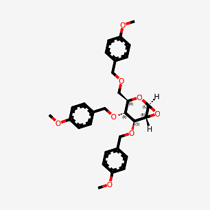 COc1ccc(COC[C@H]2O[C@H]3O[C@@H]3[C@@H](OCc3ccc(OC)cc3)[C@@H]2OCc2ccc(OC)cc2)cc1